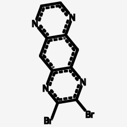 Brc1nc2cc3nccnc3cc2nc1Br